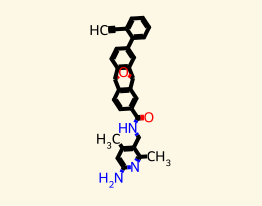 C#Cc1ccccc1-c1ccc2c(c1)C1OC2c2ccc(C(=O)NCc3c(C)cc(N)nc3C)cc21